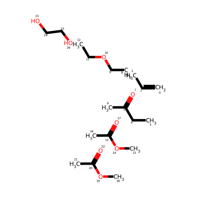 C=CC.CCC(C)=O.CCOCC.COC(C)=O.COC(C)=O.OCCO